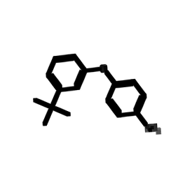 CC(C)(C)c1cccc(Oc2ccc(N)cc2)c1